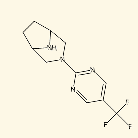 FC(F)(F)c1cnc(N2CC3CCC(C2)N3)nc1